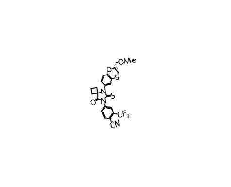 COC[C@@H]1CSc2cc(N3C(=S)N(c4ccc(C#N)c(C(F)(F)F)c4)C(=O)C34CCC4)ccc2O1